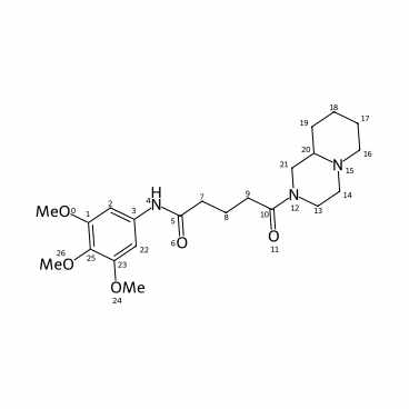 COc1cc(NC(=O)CCCC(=O)N2CCN3CCCCC3C2)cc(OC)c1OC